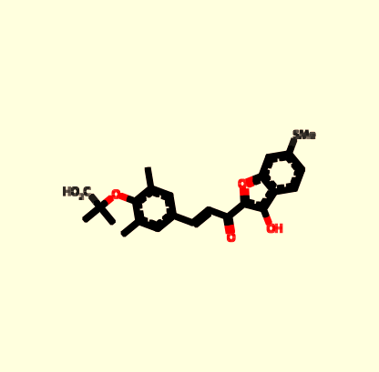 CSc1ccc2c(O)c(C(=O)/C=C/c3cc(C)c(OC(C)(C)C(=O)O)c(C)c3)oc2c1